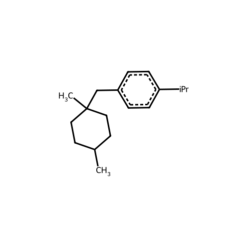 CC1CCC(C)(Cc2ccc(C(C)C)cc2)CC1